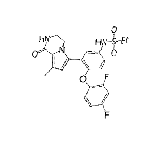 CCS(=O)(=O)Nc1ccc(Oc2ccc(F)cc2F)c(-c2cc(C)c3n2CCNC3=O)c1